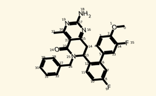 COc1ccc(-c2cc(F)ccc2C2Cc3nc(N)nc(C)c3C(=O)N2Cc2ccccc2)cc1F